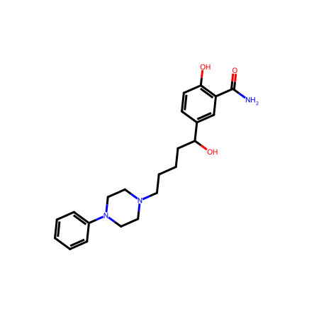 NC(=O)c1cc(C(O)CCCCN2CCN(c3ccccc3)CC2)ccc1O